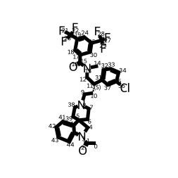 CC(=O)N1CC2(CCN(CC[C@H](CN(C)C(=O)c3cc(C(F)(F)F)cc(C(F)(F)F)c3)c3cccc(Cl)c3)CC2)c2ccccc21